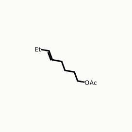 CCC=CCCCCOC(C)=O